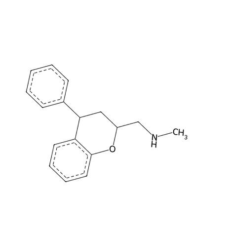 CNCC1CC(c2ccccc2)c2ccccc2O1